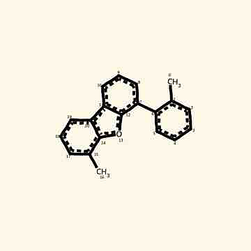 Cc1ccccc1-c1cccc2c1oc1c(C)cccc12